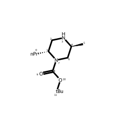 CCC[C@@H]1CN[C@@H](C)CN1C(=O)OC(C)(C)C